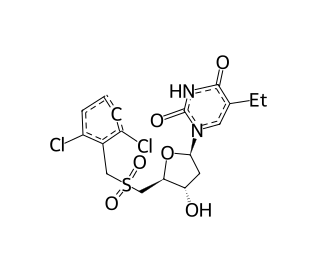 CCc1cn([C@H]2C[C@H](O)[C@@H](CS(=O)(=O)Cc3c(Cl)cccc3Cl)O2)c(=O)[nH]c1=O